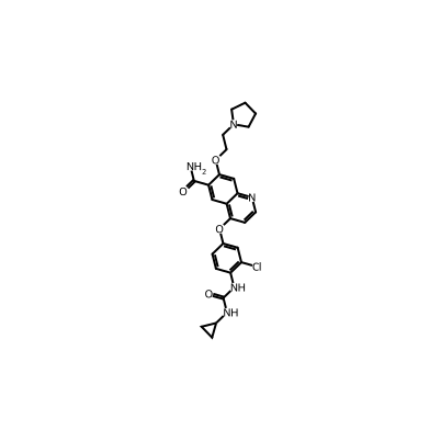 NC(=O)c1cc2c(Oc3ccc(NC(=O)NC4CC4)c(Cl)c3)ccnc2cc1OCCN1CCCC1